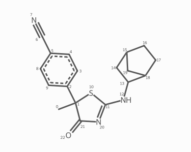 CC1(c2ccc(C#N)cc2)SC(NC2CC3CCC2C3)=NC1=O